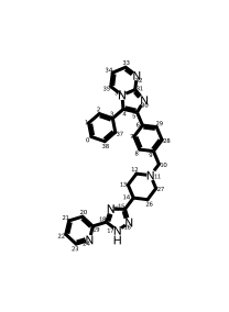 c1ccc(-c2c(-c3ccc(CN4CCC(c5n[nH]c(-c6ccccn6)n5)CC4)cc3)nc3ncccn23)cc1